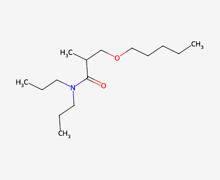 CCCCCOCC(C)C(=O)N(CCC)CCC